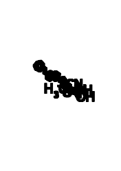 C/C(=C(/C#N)C(=O)NCC(O)CO)c1ccc(-c2ccc3cc(CCC4CCCCCC4)ccc3c2)s1